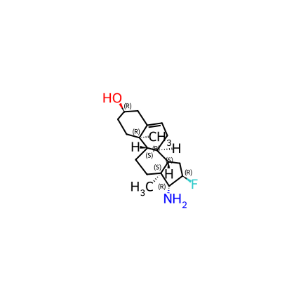 C[C@]12CC[C@H]3[C@@H](CC=C4C[C@H](O)CC[C@@]43C)[C@@H]1C[C@@H](F)[C@@H]2N